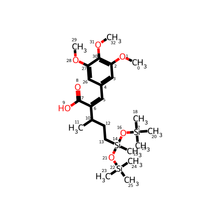 COc1cc(C=C(C(=O)O)C(C)CC[Si](C)(O[Si](C)(C)C)O[Si](C)(C)C)cc(OC)c1OC